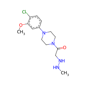 CNNCC(=O)N1CCN(c2ccc(Cl)c(OC)c2)CC1